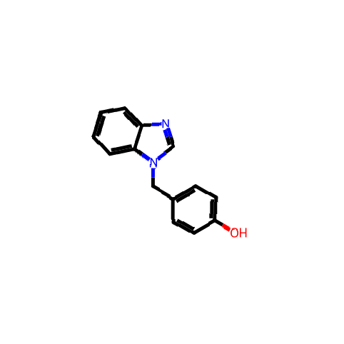 Oc1ccc(Cn2cnc3ccccc32)cc1